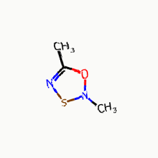 CC1=NSN(C)O1